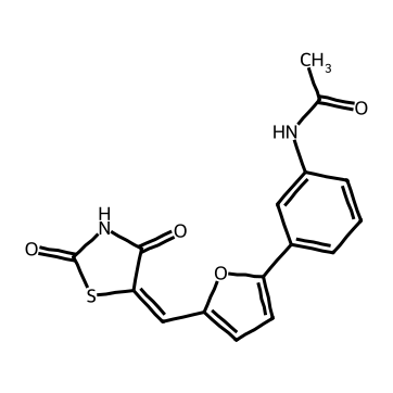 CC(=O)Nc1cccc(-c2ccc(C=C3SC(=O)NC3=O)o2)c1